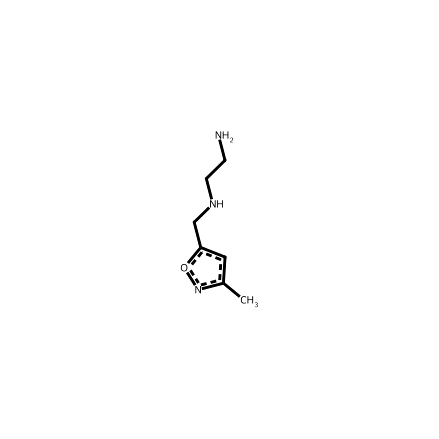 Cc1cc(CNCCN)on1